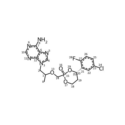 CC(Cn1cnc2c(N)ncnc21)OCP1(=O)OCC[C@@H](c2cc(Cl)ccc2F)O1